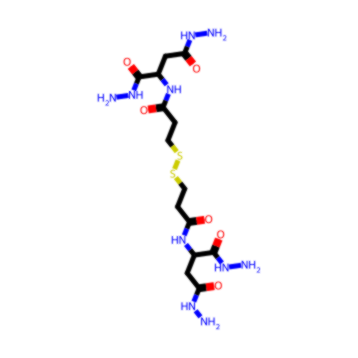 NNC(=O)CC(NC(=O)CCSSCCC(=O)NC(CC(=O)NN)C(=O)NN)C(=O)NN